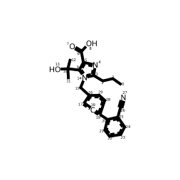 CCCc1nc(C(=O)O)c(C(C)(C)O)n1Cc1ccc(-c2ccccc2C#N)cc1